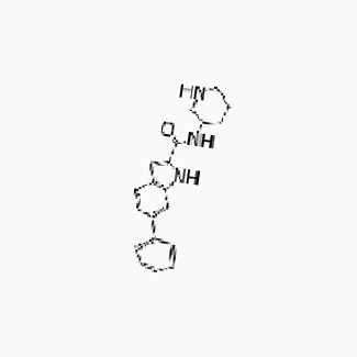 O=C(NC1CCCNC1)c1cc2ccc(-c3ccccc3)cc2[nH]1